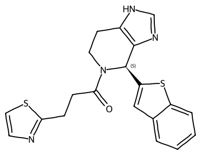 O=C(CCc1nccs1)N1CCc2[nH]cnc2[C@H]1c1cc2ccccc2s1